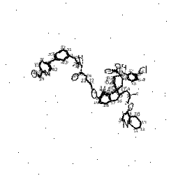 C[C@@H](COc1ccnc2c1CCCC2)CC1Cc2ccc(OCCCC(=O)NCCc3cccc(-c4ccc(C=O)nc4)c3)cc2C12CCC(Nc1cccc(Cl)c1)(C(=O)O)CC2